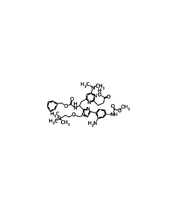 COC(=O)Nc1ccc(-c2cn(COCC[Si](C)(C)C)c(C(Cc3cc(N(C)C)nc(CCC(=O)O)n3)NC(=O)OCc3ccccc3)n2)c(N)c1